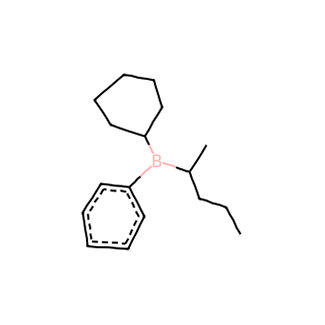 CCCC(C)B(c1ccccc1)C1CCCCC1